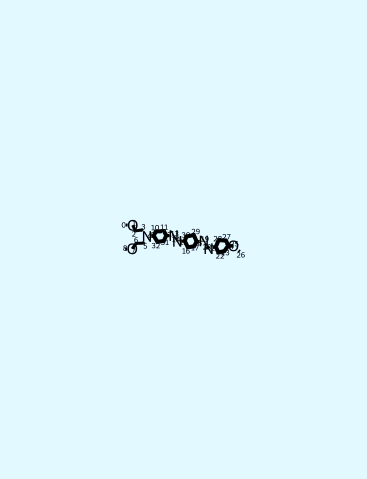 COCCN(CCOC)c1ccc(N=Nc2ccc(N=Nc3ccc(OC)cc3)cc2)cc1